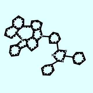 c1ccc(-c2nc(-c3ccccc3)nc(-c3cccc(-n4c5cccc6c7cccc8cccc(c87)n7c8ccccc8c8ccc4c(c65)c87)c3)n2)cc1